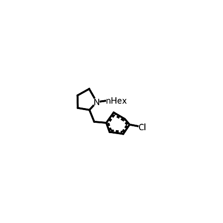 CCCCCCN1CCCC1Cc1ccc(Cl)cc1